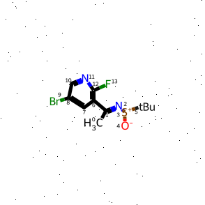 CC(=N[S+]([O-])C(C)(C)C)c1cc(Br)cnc1F